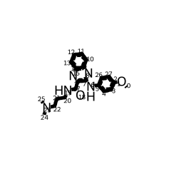 COc1ccc(Nc2nc3ccccc3nc2C(=O)NCCCN(C)C)cc1